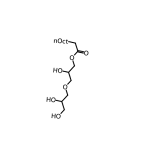 CCCCCCCCCC(=O)OCC(O)COCC(O)CO